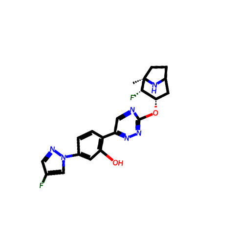 C[C@@]12CCC(C[C@H](Oc3ncc(-c4ccc(-n5cc(F)cn5)cc4O)nn3)[C@@H]1F)N2